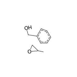 CC1CO1.OCc1ccccc1